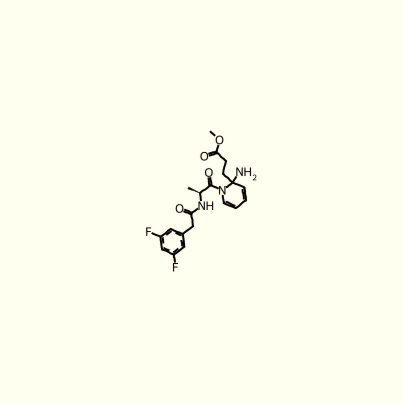 COC(=O)CCC1(N)C=CC=CN1C(=O)[C@H](C)NC(=O)Cc1cc(F)cc(F)c1